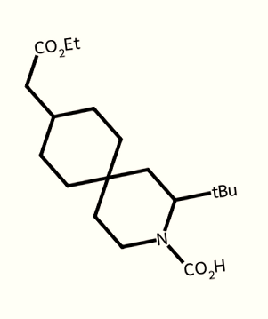 CCOC(=O)CC1CCC2(CC1)CCN(C(=O)O)C(C(C)(C)C)C2